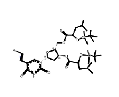 CC(C)CC(O[Si](C)(C)C(C)(C)C)C(=O)OC[C@H]1O[C@@H](n2cc(/C=C/Br)c(=O)[nH]c2=O)C[C@@H]1OC(=O)C(CC(C)C)O[Si](C)(C)C(C)(C)C